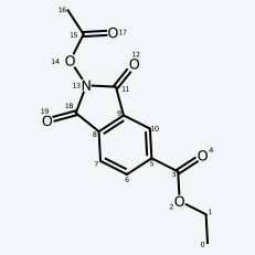 CCOC(=O)c1ccc2c(c1)C(=O)N(OC(C)=O)C2=O